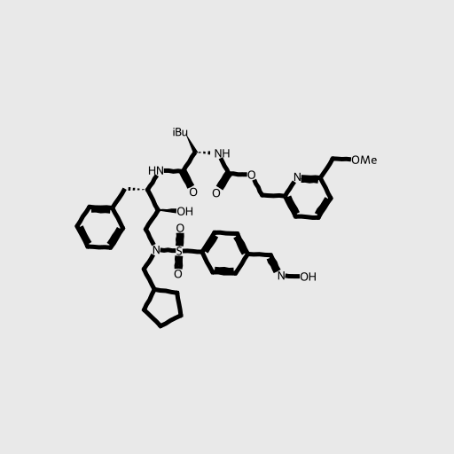 CC[C@H](C)[C@H](NC(=O)OCc1cccc(COC)n1)C(=O)N[C@@H](Cc1ccccc1)[C@@H](O)CN(CC1CCCC1)S(=O)(=O)c1ccc(C=NO)cc1